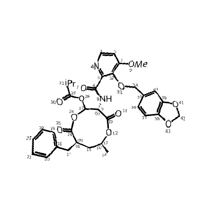 COc1ccnc(C(=O)N[C@@H]2C(=O)O[C@@H](C)C[C@@H](Cc3ccccc3)C(=O)OC2OC(=O)C(C)C)c1OCc1ccc2c(c1)OCO2